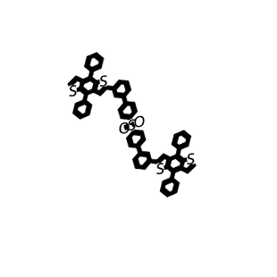 O=S(=O)(c1ccc(-c2cccc(-c3cc4c(-c5ccccc5)c5sccc5c(-c5ccccc5)c4s3)c2)cc1)c1ccc(-c2cccc(-c3cc4c(-c5ccccc5)c5sccc5c(-c5ccccc5)c4s3)c2)cc1